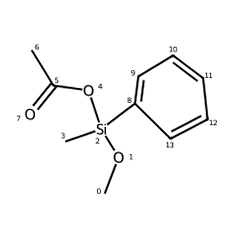 CO[Si](C)(OC(C)=O)c1ccccc1